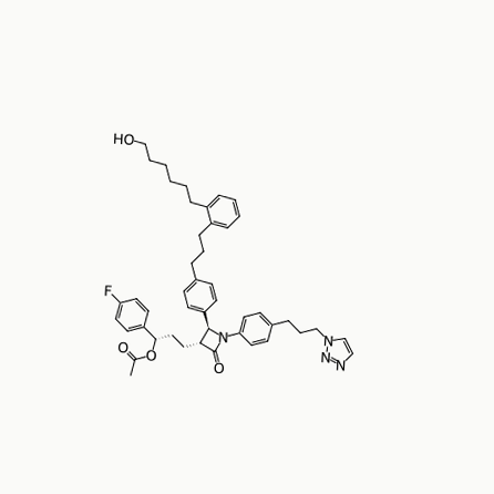 CC(=O)O[C@@H](CC[C@H]1C(=O)N(c2ccc(CCCn3ccnn3)cc2)[C@@H]1c1ccc(CCCc2ccccc2CCCCCCO)cc1)c1ccc(F)cc1